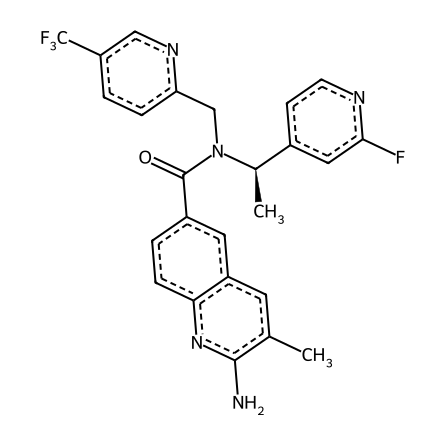 Cc1cc2cc(C(=O)N(Cc3ccc(C(F)(F)F)cn3)[C@H](C)c3ccnc(F)c3)ccc2nc1N